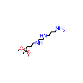 CO[Si](C)(CCCNCCNCCCN)OC